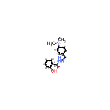 CN(C)c1ccc(/C=N\NC(=O)c2ccccc2O)cc1